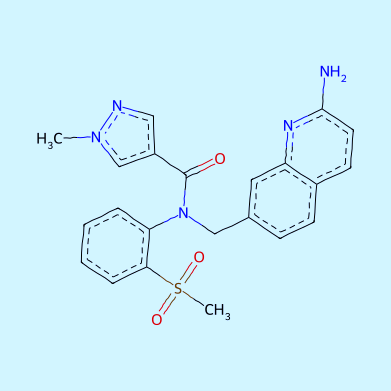 Cn1cc(C(=O)N(Cc2ccc3ccc(N)nc3c2)c2ccccc2S(C)(=O)=O)cn1